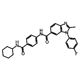 Cc1nc2ccc(C(=O)Nc3ccc(C(=O)NC4CCCCC4)cc3)cc2n1-c1ccc(F)cc1